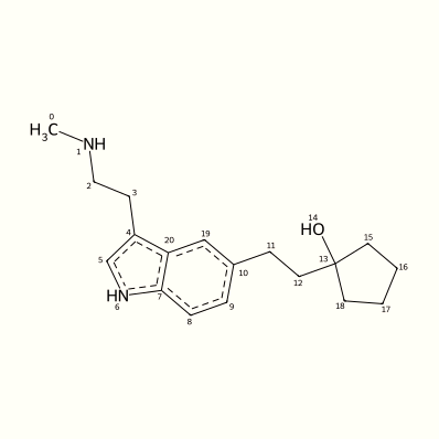 CNCCc1c[nH]c2ccc(CCC3(O)CCCC3)cc12